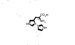 N[C@@H](Cc1c[nH]cn1)C(=O)O.c1c[nH]cn1